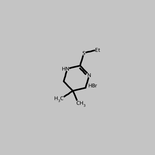 Br.CCSC1=NCC(C)(C)CN1